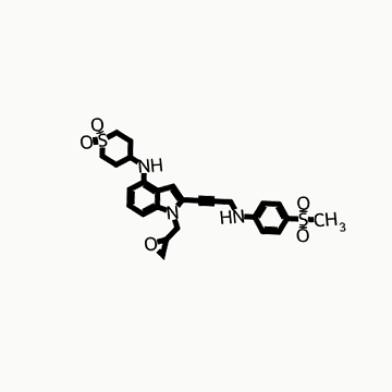 CS(=O)(=O)c1ccc(NCC#Cc2cc3c(NC4CCS(=O)(=O)CC4)cccc3n2CC2CO2)cc1